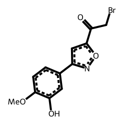 COc1ccc(-c2cc(C(=O)CBr)on2)cc1O